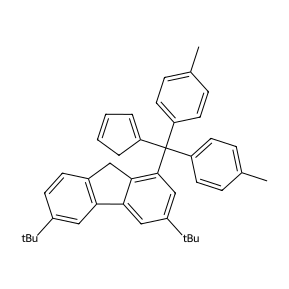 Cc1ccc(C(C2=CC=CC2)(c2ccc(C)cc2)c2cc(C(C)(C)C)cc3c2Cc2ccc(C(C)(C)C)cc2-3)cc1